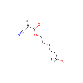 C=C(C#N)C(=O)OCCOCC[SiH2][O]